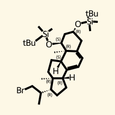 CC(CBr)[C@H]1CC[C@H]2C3=CC=C4C[C@@H](O[Si](C)(C)C(C)(C)C)C[C@H](O[Si](C)(C)C(C)(C)C)[C@]4(C)[C@H]3CC[C@]12C